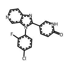 O=c1ccc(-c2nc3ccncc3n2-c2ccc(Cl)cc2F)c[nH]1